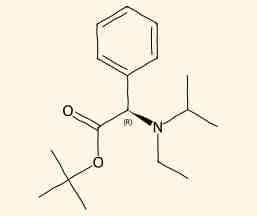 CCN(C(C)C)[C@@H](C(=O)OC(C)(C)C)c1ccccc1